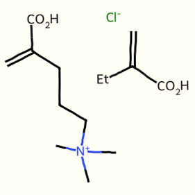 C=C(CC)C(=O)O.C=C(CCC[N+](C)(C)C)C(=O)O.[Cl-]